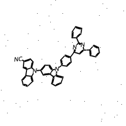 N#Cc1ccc2c(c1)c1ccccc1n2-c1ccc2c(c1)c1ccccc1n2-c1ccc(-c2cc(-c3ccccc3)nc(-c3ccccc3)n2)cc1